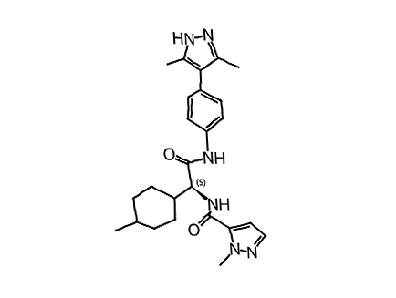 Cc1n[nH]c(C)c1-c1ccc(NC(=O)[C@@H](NC(=O)c2ccnn2C)C2CCC(C)CC2)cc1